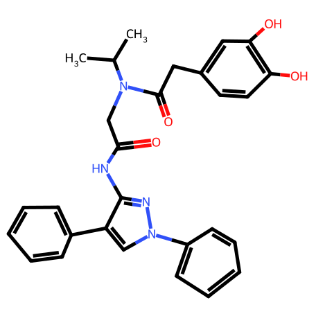 CC(C)N(CC(=O)Nc1nn(-c2ccccc2)cc1-c1ccccc1)C(=O)Cc1ccc(O)c(O)c1